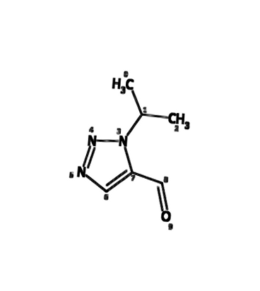 CC(C)n1nncc1C=O